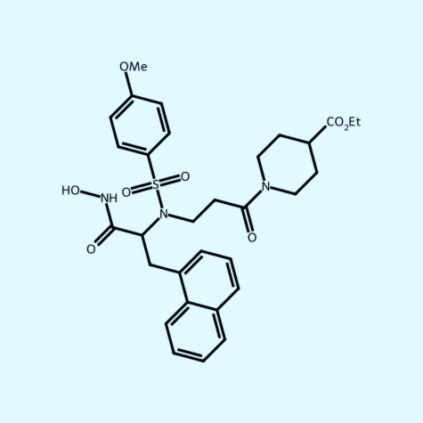 CCOC(=O)C1CCN(C(=O)CCN(C(Cc2cccc3ccccc23)C(=O)NO)S(=O)(=O)c2ccc(OC)cc2)CC1